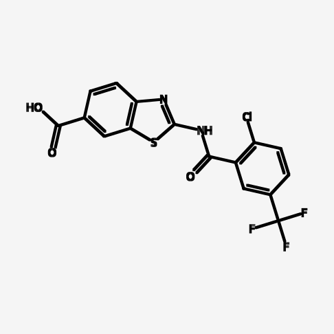 O=C(O)c1ccc2nc(NC(=O)c3cc(C(F)(F)F)ccc3Cl)sc2c1